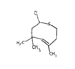 C/C1=C\C(C)(C)CC(Cl)SCC1